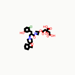 O=C(O)CC(O)(CC(=O)OC1CN(C(=O)C(Cc2cc(O)ccc2Cl)CN2CCC3(CC2)OCc2ccccc23)C1)C(=O)O